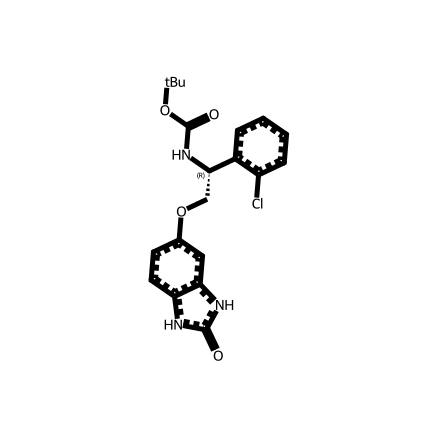 CC(C)(C)OC(=O)N[C@@H](COc1ccc2[nH]c(=O)[nH]c2c1)c1ccccc1Cl